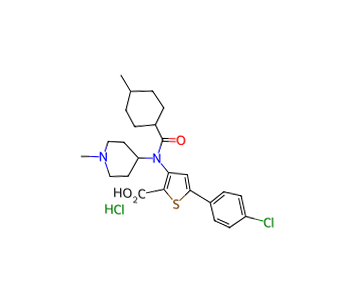 CC1CCC(C(=O)N(c2cc(-c3ccc(Cl)cc3)sc2C(=O)O)C2CCN(C)CC2)CC1.Cl